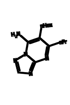 CCCCCCc1c(CCC)nc2ncnn2c1N